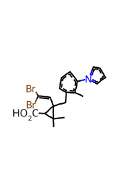 Cc1c(CC2(C=C(Br)Br)C(C(=O)O)C2(C)C)cccc1-n1cccc1